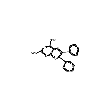 CNc1nc(NC)c2nc(-c3ccccc3)c(-c3ccccc3)nc2n1